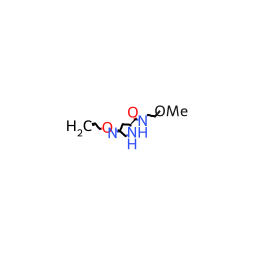 C=CCON=C1CN[C@H](C(=O)NCCOC)C1